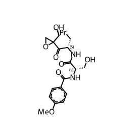 COc1ccc(C(=O)N[C@@H](CO)C(=O)N[C@@H](CC(C)C)C(=O)C2(CO)CO2)cc1